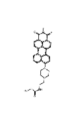 CN1C(=O)c2ccc3c4cccc5c(N6CCN(CCNC(=O)OC(C)(C)C)CC6)ccc(c6ccc(c2c36)C1=O)c54